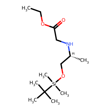 CCOC(=O)CN[C@H](C)CO[Si](C)(C)C(C)(C)C